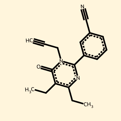 C#CCn1c(-c2cccc(C#N)c2)nc(CC)c(CC)c1=O